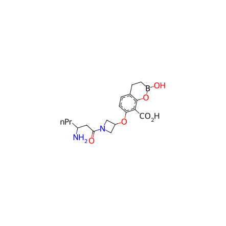 CCCC(N)CC(=O)N1CC(Oc2ccc3c(c2C(=O)O)OB(O)CC3)C1